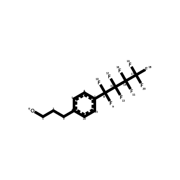 [O]CCCc1ccc(C(F)(F)C(F)(F)C(F)(F)C(F)(F)F)cc1